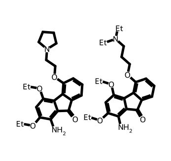 CCOc1cc(OCC)c2c(c1N)C(=O)c1cccc(OCCCN(CC)CC)c1-2.CCOc1cc(OCC)c2c(c1N)C(=O)c1cccc(OCCN3CCCC3)c1-2